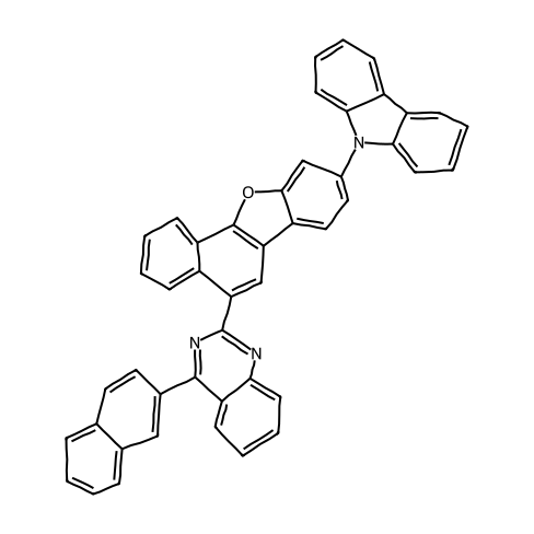 c1ccc2cc(-c3nc(-c4cc5c6ccc(-n7c8ccccc8c8ccccc87)cc6oc5c5ccccc45)nc4ccccc34)ccc2c1